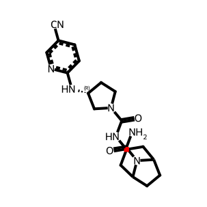 N#Cc1ccc(N[C@@H]2CCN(C(=O)NC3CC4CCC(C3)N4C(N)=O)C2)nc1